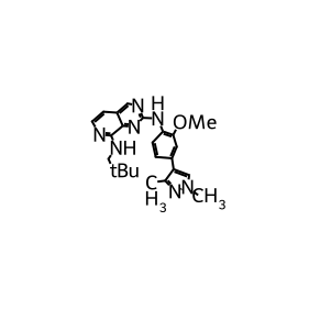 COc1cc(-c2cn(C)nc2C)ccc1Nc1ncc2ccnc(NCC(C)(C)C)c2n1